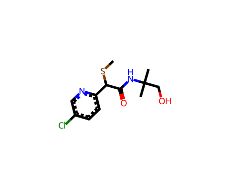 CSC(C(=O)NC(C)(C)CO)c1ccc(Cl)cn1